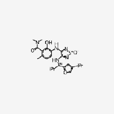 Cc1ccc(Nc2n[s+]([O-])nc2N[C@@H](c2cc(C(C)C)co2)C(C)C)c(O)c1C(=O)N(C)C